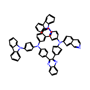 c1ccc2nc(-c3ccc(N(c4ccc(-n5c6ccccc6c6ccccc65)cc4)c4ccc5ccncc5c4)cc3)c(-c3ccc(N(c4ccc(-n5c6ccccc6c6ccccc65)cc4)c4ccc5ccncc5c4)cc3)nc2c1